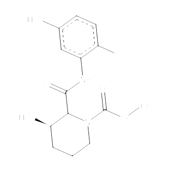 Cc1ccc(C)c(NC(=O)C2[C@H](C)CCCN2C(=O)OC(C)(C)C)c1